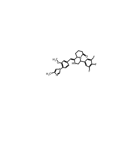 COc1cc(C=C2NCC(c3cc(F)c(F)c(F)c3)N3C(=O)CCCC23)ccc1-n1cnc(C)c1